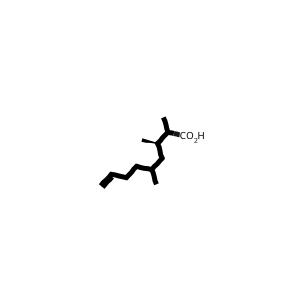 C=CCCC(C)C[C@@H](C)C(C)C(=O)O